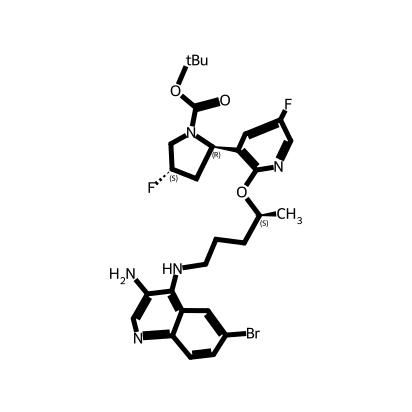 C[C@@H](CCCNc1c(N)cnc2ccc(Br)cc12)Oc1ncc(F)cc1[C@H]1C[C@H](F)CN1C(=O)OC(C)(C)C